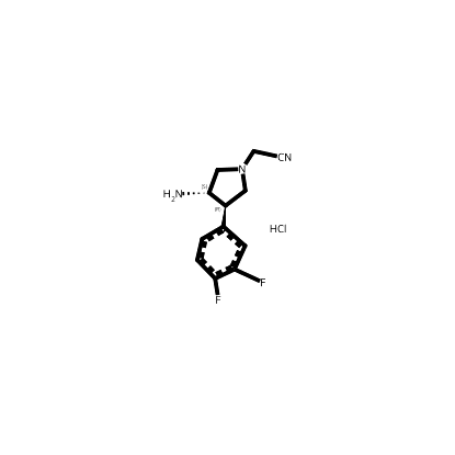 Cl.N#CCN1C[C@@H](N)[C@H](c2ccc(F)c(F)c2)C1